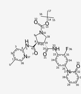 Cc1ccc(NC(=O)[C@H]2CN(C(=O)OC(C)(C)C)C[C@@H]2C(=O)Nc2ccc(-n3ccccc3=O)cc2F)nc1